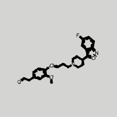 COc1cc(CC=O)ccc1OCCCN1CCC(c2onc3ccc(F)cc23)CC1